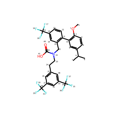 COc1ccc(C(C)C)cc1-c1ccc(C(F)(F)F)cc1CN(CCc1cc(C(F)(F)F)cc(C(F)(F)F)c1)C(=O)O